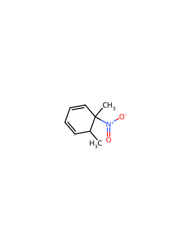 CC1[C]=CC=CC1(C)[N+](=O)[O-]